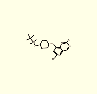 CC(C)(C)[Si](C)(C)O[C@H]1CC[C@@H](Oc2cc(Br)cc3cnc(Cl)nc23)CC1